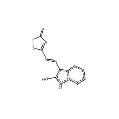 O=C1CSC(/N=N/c2c(O)[nH]c3ccccc23)=N1